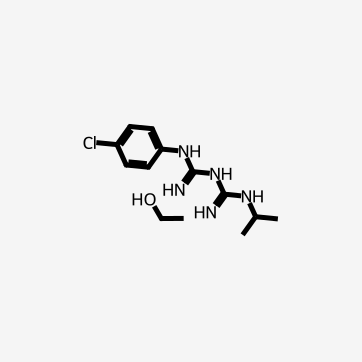 CC(C)NC(=N)NC(=N)Nc1ccc(Cl)cc1.CCO